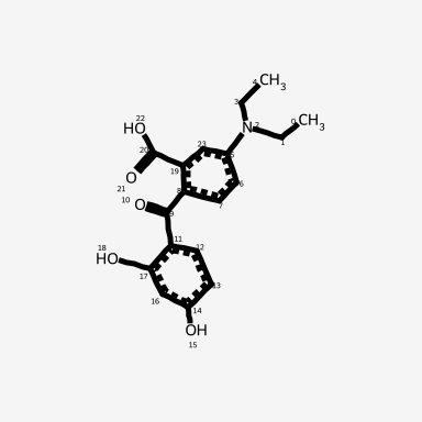 CCN(CC)c1ccc(C(=O)c2ccc(O)cc2O)c(C(=O)O)c1